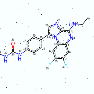 CCNc1nc2cc(F)c(F)cc2n2c(-c3ccc(NC(=O)NC)cc3)cnc12